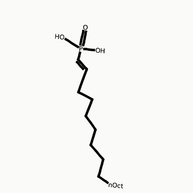 CCCCCCCCCCCCCCCC=CP(=O)(O)O